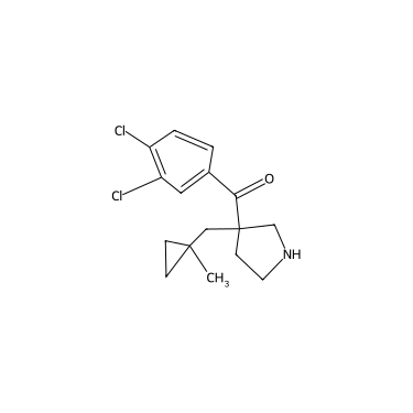 CC1(CC2(C(=O)c3ccc(Cl)c(Cl)c3)CCNC2)CC1